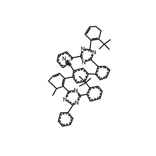 CC1CC=CC(c2ccc(-c3ccccc3-c3nc(C4=C(C(C)(C)C)CCC=C4)nc(-c4ccccc4)n3)cc2C#N)=C1c1nc(-c2ccccc2)nc(-c2ccccc2C(C)(C)C)n1